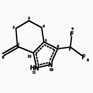 C=C1CCCc2c(C(F)F)n[nH]c21